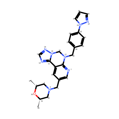 C[C@@H]1CN(Cc2cnc3c(c2)-c2ncnn2CN3Cc2ccc(-n3cccn3)cc2)C[C@H](C)O1